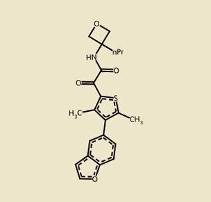 CCCC1(NC(=O)C(=O)c2sc(C)c(-c3ccc4occc4c3)c2C)COC1